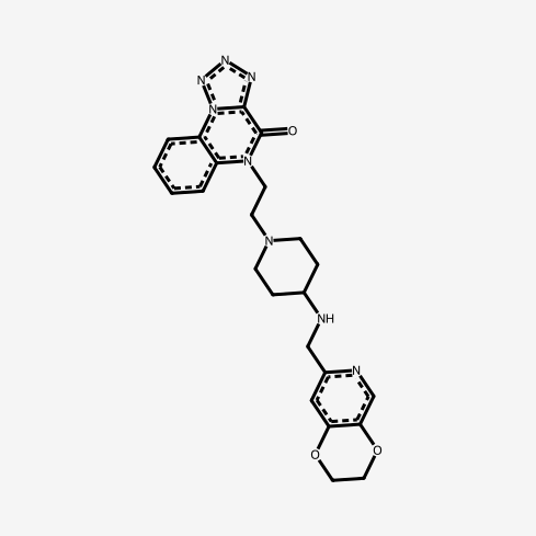 O=c1c2nnnn2c2ccccc2n1CCN1CCC(NCc2cc3c(cn2)OCCO3)CC1